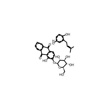 CC(C)=CCc1cc(O)ccc1O.O=C1c2ccccc2C(=O)c2c1ccc(O[C@@H]1O[C@H](CO)[C@@H](O)[C@H](O)[C@H]1O)c2O